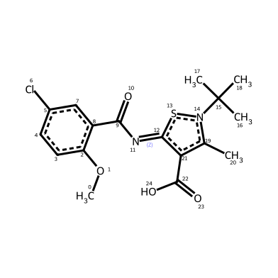 COc1ccc(Cl)cc1C(=O)/N=c1\sn(C(C)(C)C)c(C)c1C(=O)O